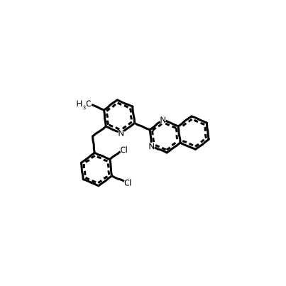 Cc1ccc(-c2ncc3ccccc3n2)nc1Cc1cccc(Cl)c1Cl